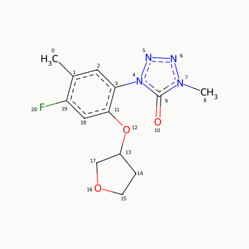 Cc1cc(-n2nnn(C)c2=O)c(OC2CCOC2)cc1F